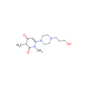 CC1C(=O)C=C(N2CCN(CCCO)CC2)N(C)C1=O